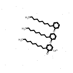 CCCCCCCCCc1ccccc1[O-].CCCCCCCCCc1ccccc1[O-].CCCCCCCCCc1ccccc1[O-].[La+3]